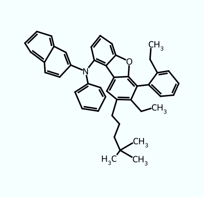 CCc1ccccc1-c1c(CC)c(CCCC(C)(C)C)cc2c1oc1cccc(N(c3ccccc3)c3ccc4ccccc4c3)c12